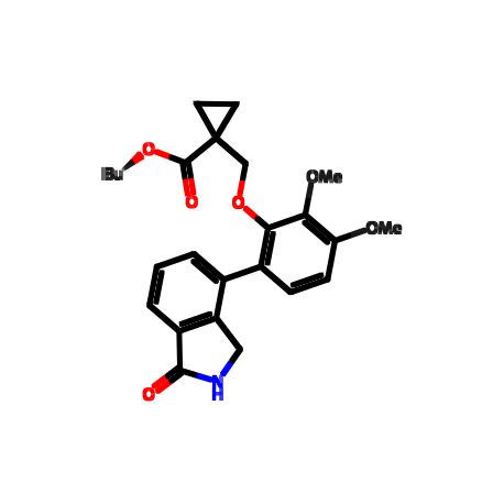 CC[C@H](C)OC(=O)C1(COc2c(-c3cccc4c3CNC4=O)ccc(OC)c2OC)CC1